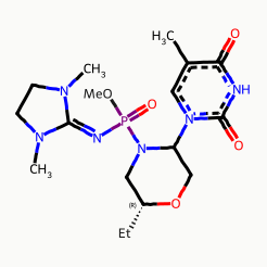 CC[C@@H]1CN(P(=O)(N=C2N(C)CCN2C)OC)C(n2cc(C)c(=O)[nH]c2=O)CO1